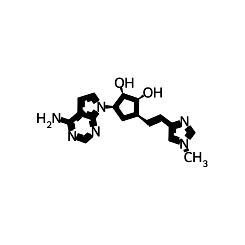 Cn1cnc(/C=C/[C@H]2C[C@@H](n3ccc4c(N)ncnc43)[C@H](O)[C@@H]2O)c1